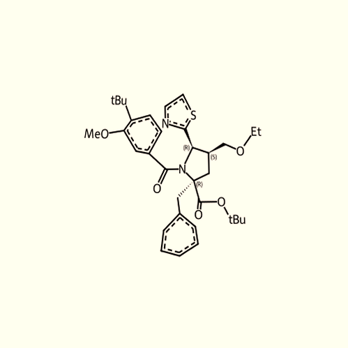 CCOC[C@H]1C[C@@](Cc2ccccc2)(C(=O)OC(C)(C)C)N(C(=O)c2ccc(C(C)(C)C)c(OC)c2)[C@H]1c1nccs1